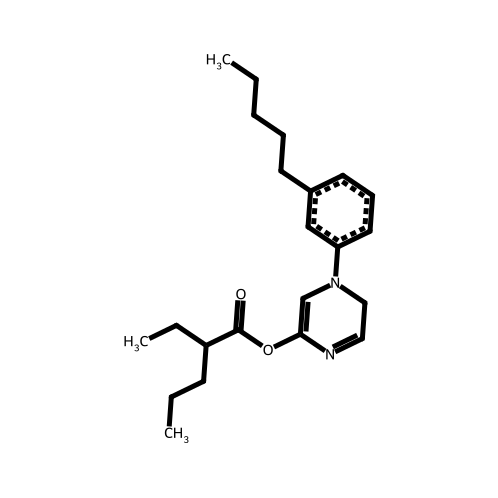 CCCCCc1cccc(N2C=C(OC(=O)C(CC)CCC)N=CC2)c1